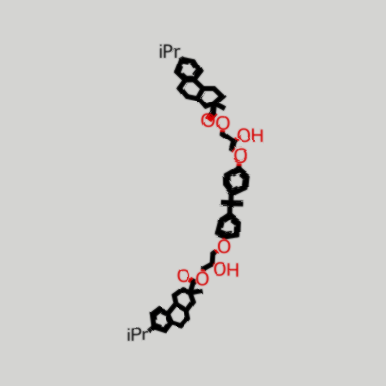 CC(C)c1ccc2c(c1)CCC1CC(C)(C(=O)OCC(O)COc3ccc(C(C)(C)c4ccc(OCC(O)COC(=O)C5(C)CCC6c7ccc(C(C)C)cc7CCC6C5)cc4)cc3)CCC21